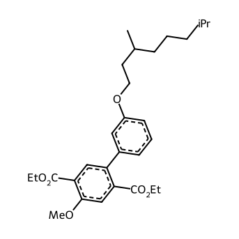 CCOC(=O)c1cc(-c2cccc(OCCC(C)CCCC(C)C)c2)c(C(=O)OCC)cc1OC